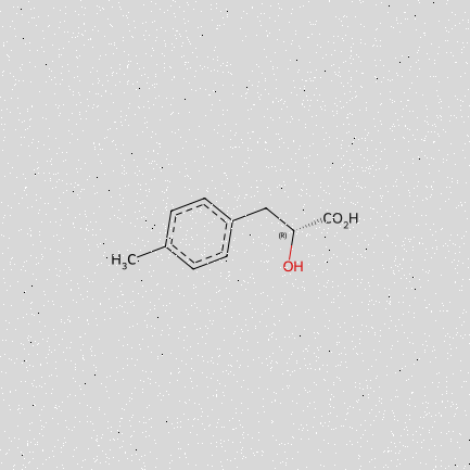 Cc1ccc(C[C@@H](O)C(=O)O)cc1